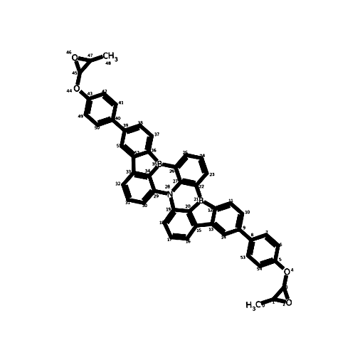 CC1OC1Oc1ccc(-c2ccc3c(c2)-c2cccc4c2B3c2cccc3c2N4c2cccc4c2B3c2ccc(-c3ccc(OC5OC5C)cc3)cc2-4)cc1